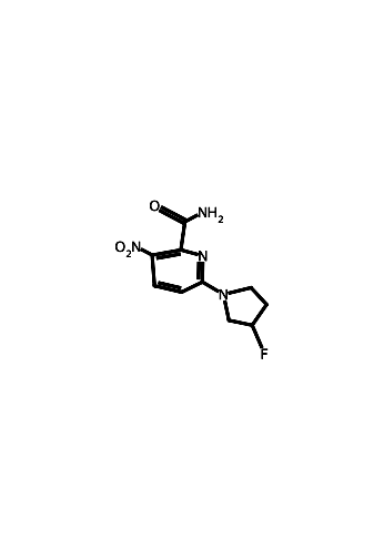 NC(=O)c1nc(N2CCC(F)C2)ccc1[N+](=O)[O-]